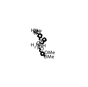 COc1ccc(CC(=O)N=C(N)NC(CC2CCCCC2)C(=O)NCc2ccc(F)c(-c3nn[nH]n3)c2)cc1OC